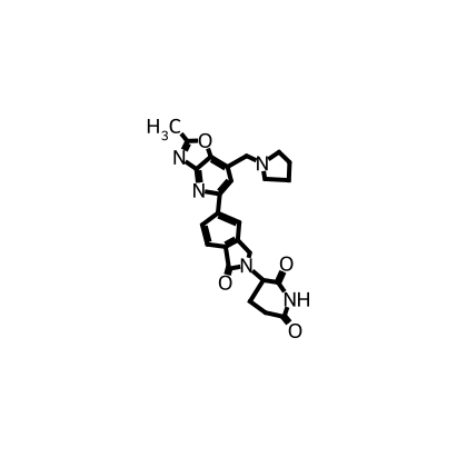 Cc1nc2nc(-c3ccc4c(c3)CN(C3CCC(=O)NC3=O)C4=O)cc(CN3CCCC3)c2o1